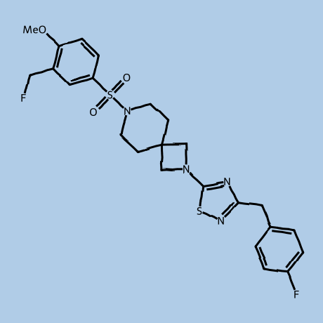 COc1ccc(S(=O)(=O)N2CCC3(CC2)CN(c2nc(Cc4ccc(F)cc4)ns2)C3)cc1CF